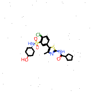 Cc1nc(NC(=O)C2CCCC2)sc1-c1ccc(Cl)c(S(=O)(=O)N[C@H]2CC[C@H](O)CC2)c1